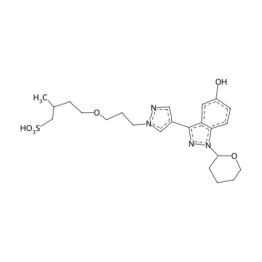 CC(CCOCCCn1cc(-c2nn(C3CCCCO3)c3ccc(O)cc23)cn1)CS(=O)(=O)O